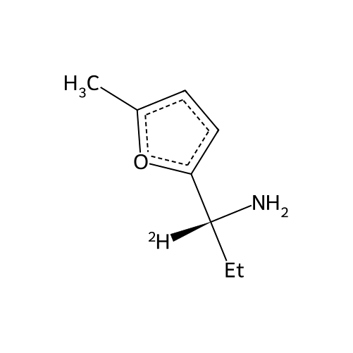 [2H][C@@](N)(CC)c1ccc(C)o1